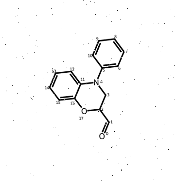 O=CC1CN(c2ccccc2)c2ccccc2O1